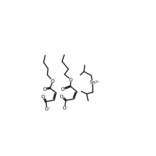 CC(C)[CH2][Sn+2][CH2]C(C)C.CCCCOC(=O)/C=C\C(=O)[O-].CCCCOC(=O)/C=C\C(=O)[O-]